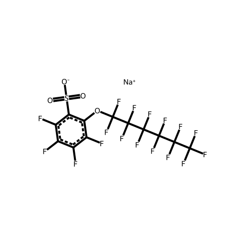 O=S(=O)([O-])c1c(F)c(F)c(F)c(F)c1OC(F)(F)C(F)(F)C(F)(F)C(F)(F)C(F)(F)C(F)(F)F.[Na+]